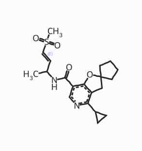 CC(/C=C/S(C)(=O)=O)NC(=O)c1cnc(C2CC2)c2c1OC1(CCCC1)C2